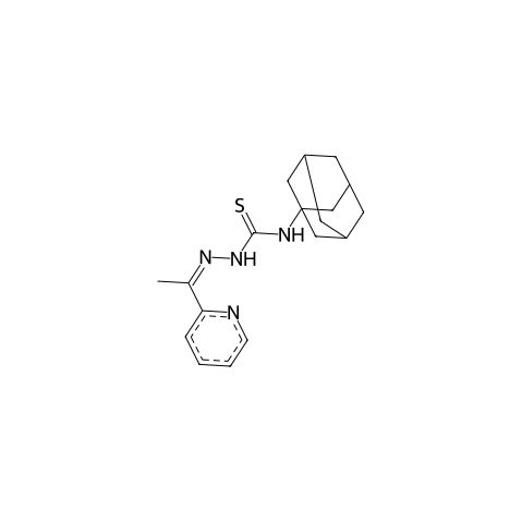 CC(=NNC(=S)NC12CC3CC(CC(C3)C1)C2)c1ccccn1